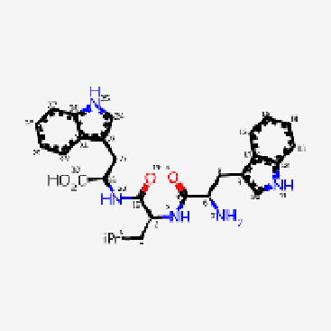 CC(C)C[C@H](NC(=O)[C@H](N)Cc1c[nH]c2ccccc12)C(=O)N[C@H](Cc1c[nH]c2ccccc12)C(=O)O